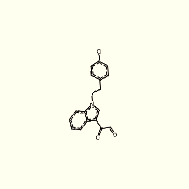 O=CC(=O)c1cn(CCc2ccc(Cl)cc2)c2ccccc12